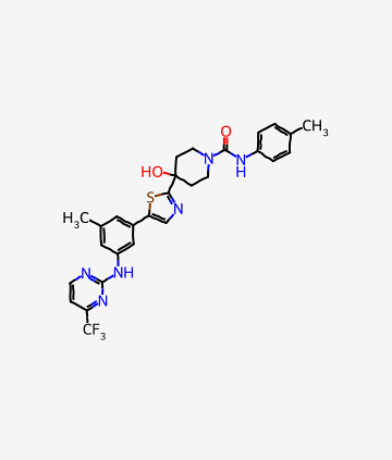 Cc1ccc(NC(=O)N2CCC(O)(c3ncc(-c4cc(C)cc(Nc5nccc(C(F)(F)F)n5)c4)s3)CC2)cc1